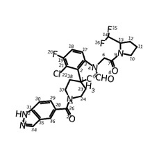 CC1(c2c(N(C=O)CC(=O)N3CCCC3C(F)F)ccc(F)c2Cl)CCN(C(=O)c2ccc3[nH]ncc3c2)CC1